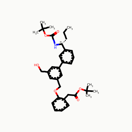 CCC[C@@H](NC(=O)OC(C)(C)C)c1cccc(-c2cc(CO)cc(COc3ccccc3CC(=O)OC(C)(C)C)c2)c1